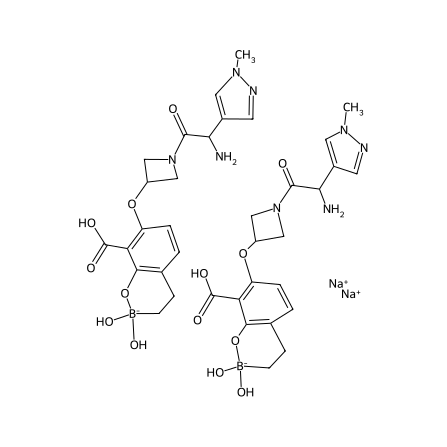 Cn1cc(C(N)C(=O)N2CC(Oc3ccc4c(c3C(=O)O)O[B-](O)(O)CC4)C2)cn1.Cn1cc(C(N)C(=O)N2CC(Oc3ccc4c(c3C(=O)O)O[B-](O)(O)CC4)C2)cn1.[Na+].[Na+]